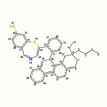 CCCCC1(CC)CC=c2ccc3c(c2C1)C(c1ccccc1C1=CN=Cc2ccc(S)cc2S1)C=c1ccccc1=3